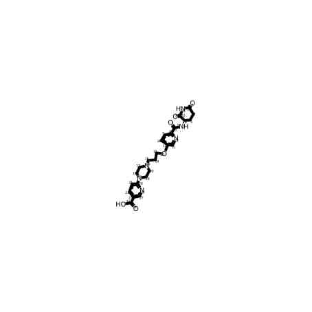 O=C1CC[C@H](NC(=O)c2ccc(OCCCN3CCN(c4ccc(C(=O)O)cn4)CC3)cn2)C(=O)N1